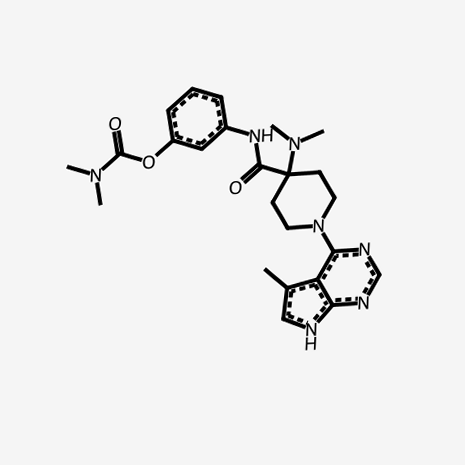 Cc1c[nH]c2ncnc(N3CCC(C(=O)Nc4cccc(OC(=O)N(C)C)c4)(N(C)C)CC3)c12